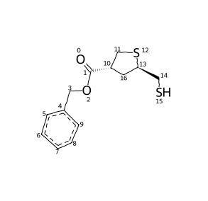 O=C(OCc1ccccc1)[C@@H]1CS[C@@H](CS)C1